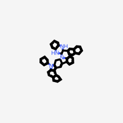 C1=C2c3ccccc3N(C3Nc4ccccc4NC3c3ccc4ccccc4c3)C2Cc2c1c1c3ccccc3ccc1n2-c1ccccc1